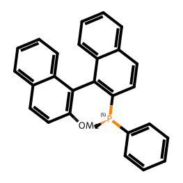 COc1ccc2ccccc2c1-c1c([P@](C)c2ccccc2)ccc2ccccc12